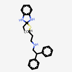 O=C(O)CC1(SCCCNCC(c2ccccc2)c2ccccc2)Nc2ccccc2N1